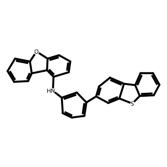 c1cc(Nc2cccc3oc4ccccc4c23)cc(-c2ccc3c(c2)sc2ccccc23)c1